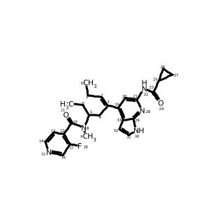 CC/C=C(\CC(CC)N(C)C(=O)c1ccncc1F)c1cc(NC(=O)C2CC2)nc2[nH]ccc12